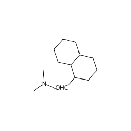 CN(C)C.O=CC1CCCC2CCCCC12